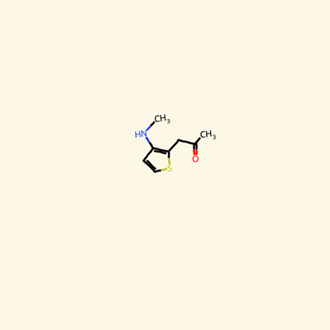 CNc1ccsc1CC(C)=O